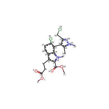 COC(=O)CCc1c(C(=O)OC)n(C)c2c(-c3c(CCl)nn(C)c3C)c(Cl)ccc12